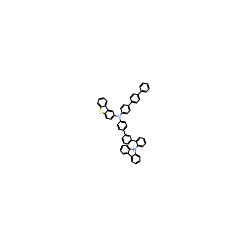 c1ccc(-c2ccc(-c3ccc(N(c4ccc(-c5cccc(-c6ccccc6-n6c7ccccc7c7ccccc76)c5)cc4)c4ccc5sc6ccccc6c5c4)cc3)cc2)cc1